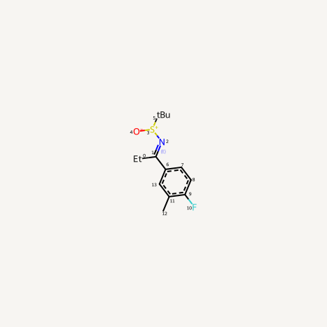 CC/C(=N\[S+]([O-])C(C)(C)C)c1ccc(F)c(C)c1